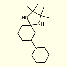 CC1(C)NC2(CCCC(N3CCCCC3)C2)NC1(C)C